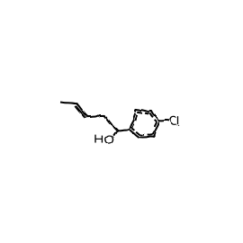 C/C=C/CC(O)c1ccc(Cl)cc1